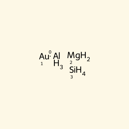 [AlH3].[Au].[MgH2].[SiH4]